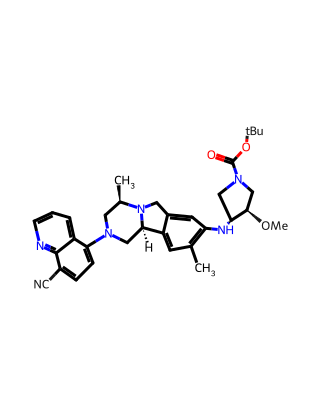 CO[C@@H]1CN(C(=O)OC(C)(C)C)C[C@H]1Nc1cc2c(cc1C)[C@H]1CN(c3ccc(C#N)c4ncccc34)C[C@@H](C)N1C2